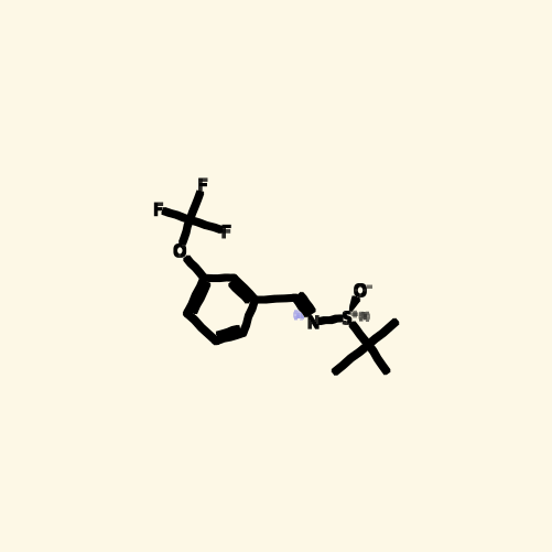 CC(C)(C)[S@+]([O-])/N=C/c1cccc(OC(F)(F)F)c1